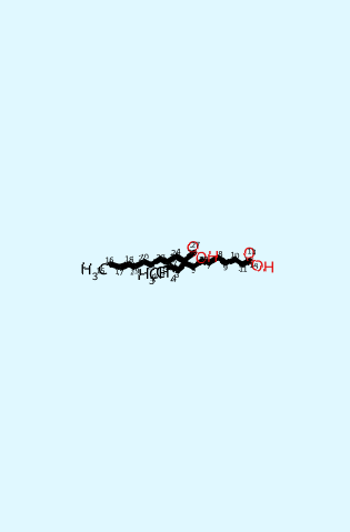 C.CCCCCCCCCCCC(=O)O.CCCCCCCCCCCC(=O)O